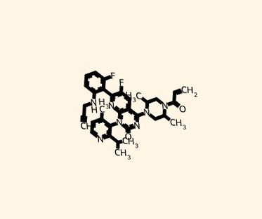 C#CCNc1cccc(F)c1-c1nc2c(cc1F)c(N1CC(C)N(C(=O)C=C)CC1C)nc(=O)n2-c1c(C)ccnc1C(C)C